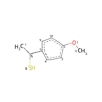 COc1ccc(C(C)S)cc1